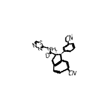 C[C@@]1(C(=O)Nc2nncs2)Cc2ccc(C#N)cc2[C@@H]1c1cccc(C#N)c1